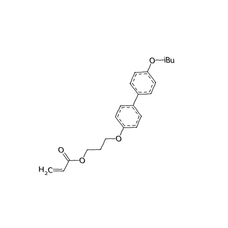 C=CC(=O)OCCCOc1ccc(-c2ccc(OC(C)CC)cc2)cc1